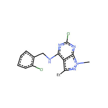 CCc1nn(C)c2nc(Cl)nc(NCc3ccccc3Cl)c12